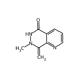 C=C1c2ncccc2C(=O)NN1C